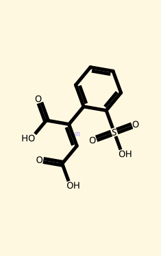 O=C(O)/C=C(\C(=O)O)c1ccccc1S(=O)(=O)O